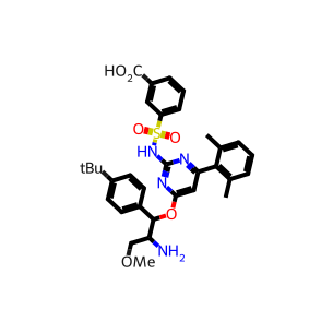 COCC(N)C(Oc1cc(-c2c(C)cccc2C)nc(NS(=O)(=O)c2cccc(C(=O)O)c2)n1)c1ccc(C(C)(C)C)cc1